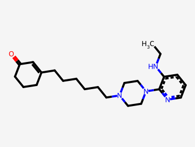 CCNc1cccnc1N1CCN(CCCCCCC2=CC(=O)CCC2)CC1